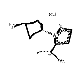 C[C@@H](O)c1ccnn1[C@H]1C[C@H](N)C1.Cl